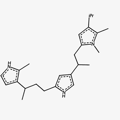 Cc1[nH]ccc1C(C)CCc1cc(C(C)Cc2cc(C(C)C)c(C)n2C)c[nH]1